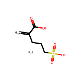 C=C(CCCS(=O)(=O)O)C(=O)O.[KH]